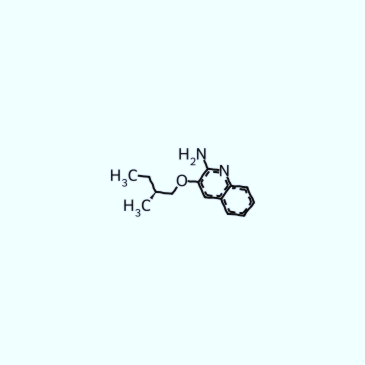 CC[C@H](C)COc1cc2ccccc2nc1N